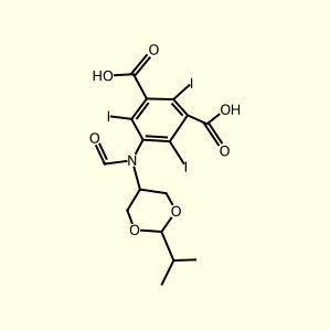 CC(C)C1OCC(N(C=O)c2c(I)c(C(=O)O)c(I)c(C(=O)O)c2I)CO1